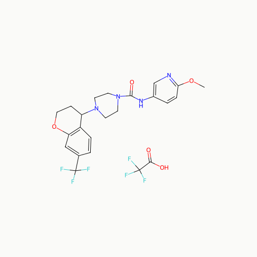 COc1ccc(NC(=O)N2CCN(C3CCOc4cc(C(F)(F)F)ccc43)CC2)cn1.O=C(O)C(F)(F)F